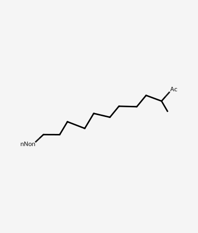 CCCCCCCCCCCCCCCCCCC(C)C(C)=O